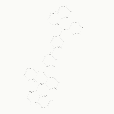 Fc1ccc(N(c2ccc(-c3ccc(-c4c5ccccc5c(-c5cccc6ccccc56)c5ccccc45)cc3)cc2)c2cccc3ccccc23)cc1